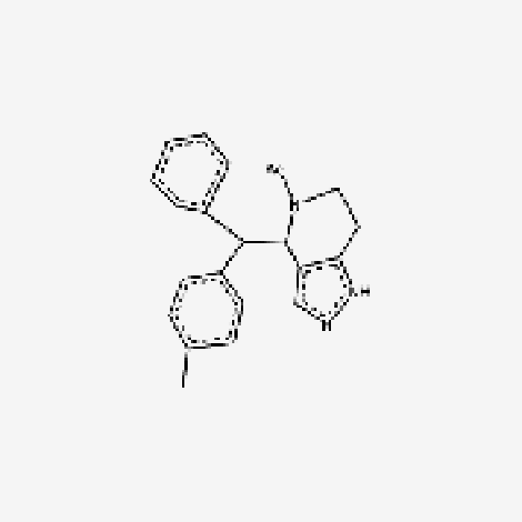 CC(=O)N1CCc2[nH]ncc2C1C(c1ccccc1)c1ccc(C)cc1